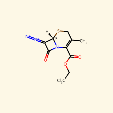 CC1=C(C(=O)OCC(Cl)(Cl)Cl)N2C(=O)C(=[N+]=[N-])[C@@H]2SC1